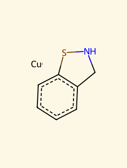 [Cu].c1ccc2c(c1)CNS2